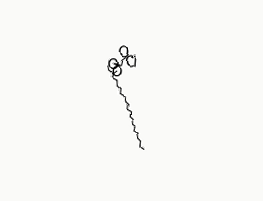 CCCCCCCCCCCCCCCCCCCCC(CC)OC(=O)CCC(=O)Cl